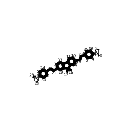 CN(C)c1ccc(/C=C/c2ccc3c(c2)C(C)(C)c2cc(/C=C/c4ccc(N(C)C)cc4)ccc2-3)cc1